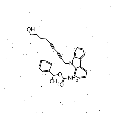 CC(OC(N)=O)c1ccccc1.OCCCCC#CC#CCn1c2ccccc2c2ccccc21